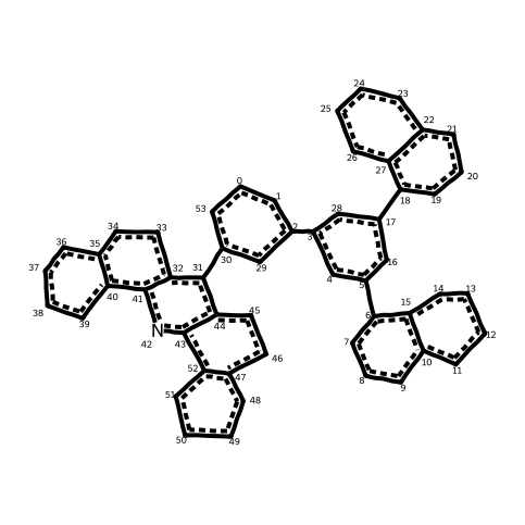 c1cc(-c2cc(-c3cccc4ccccc34)cc(-c3cccc4ccccc34)c2)cc(-c2c3ccc4ccccc4c3nc3c2ccc2ccccc23)c1